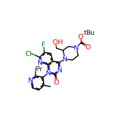 Cc1ccnc(C(C)C)c1-n1c(=O)nc(N2CCN(C(=O)OC(C)(C)C)CC2CO)c2cc(F)c(Cl)nc21